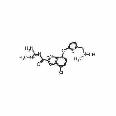 CNC(N)=NC(=O)c1cc2c(Cl)ccc(Oc3ccc(CN(C)C)s3)c2[nH]1